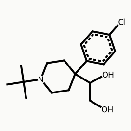 CC(C)(C)N1CCC(c2ccc(Cl)cc2)(C(O)CO)CC1